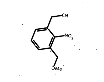 COCc1cccc(CC#N)c1[N+](=O)[O-]